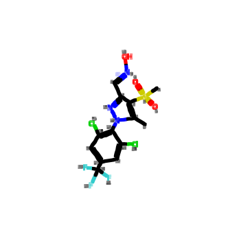 Cc1c(S(C)(=O)=O)c(/C=N/O)nn1-c1c(Cl)cc(C(F)(F)F)cc1Cl